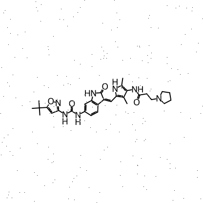 Cc1[nH]c(/C=C2\C(=O)Nc3cc(NC(=O)Nc4cc(C(C)(C)C)on4)ccc32)c(C)c1NC(=O)CCN1CCCC1